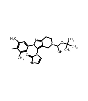 Cc1cc(-n2nc3c(c2-n2cc[nH]c2=O)CN(C(O)OC(C)(C)C)CC3)cc(C)c1F